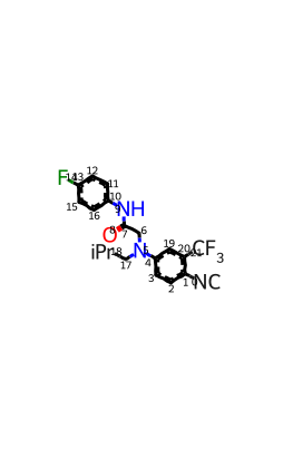 [C-]#[N+]c1ccc(N(CC(=O)Nc2ccc(F)cc2)CC(C)C)cc1C(F)(F)F